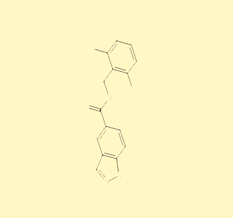 O=C(NCc1c(F)cccc1F)c1ccc2[nH]ncc2c1